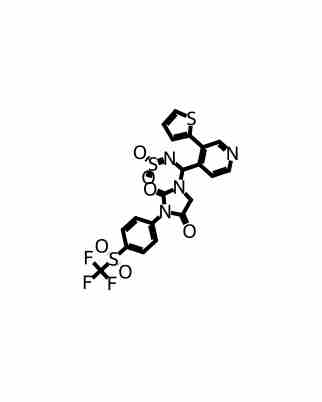 O=C1CN(C(N=S(=O)=O)c2ccncc2-c2cccs2)C(=O)N1c1ccc(S(=O)(=O)C(F)(F)F)cc1